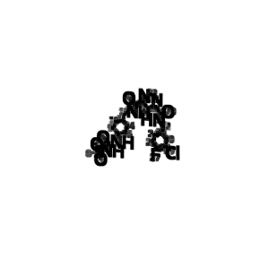 CS(=O)(=O)NC(=O)Nc1ccc(CNC(=O)c2cc(C(=O)NCc3ccc(F)c(Cl)c3)ncn2)cc1